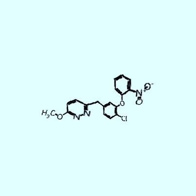 COc1ccc(Cc2ccc(Cl)c(Oc3ccccc3[N+](=O)[O-])c2)nn1